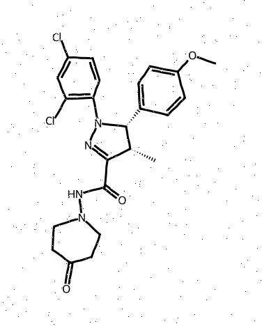 COc1ccc([C@@H]2[C@H](C)C(C(=O)NN3CCC(=O)CC3)=NN2c2ccc(Cl)cc2Cl)cc1